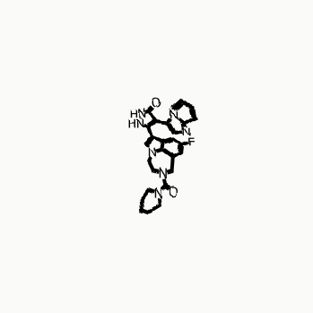 O=C(N1CCCCC1)N1CCn2cc(-c3[nH][nH]c(=O)c3-c3cnc4ccccn34)c3cc(F)cc(c32)C1